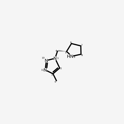 Cc1cn(C[C@@H]2CCCN2)nn1